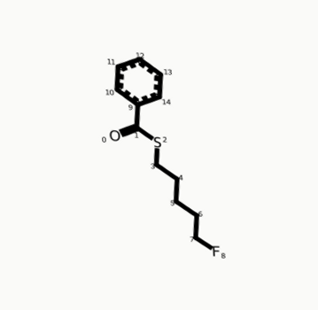 O=C(SCCCCCF)c1ccccc1